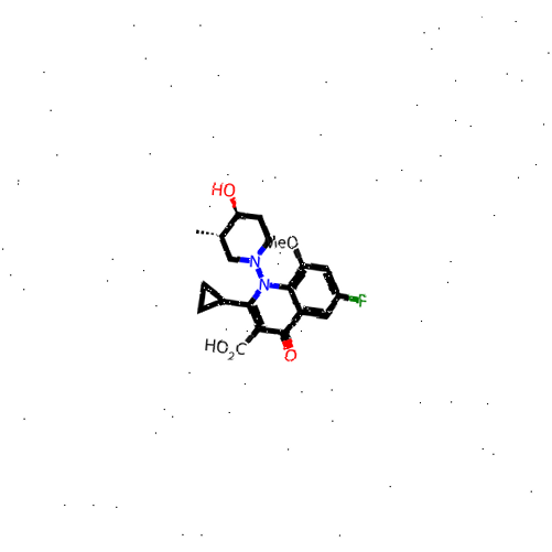 COc1cc(F)cc2c(=O)c(C(=O)O)c(C3CC3)n(N3CC[C@H](O)[C@@H](C)C3)c12